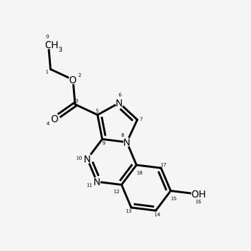 CCOC(=O)c1ncn2c1nnc1ccc(O)cc12